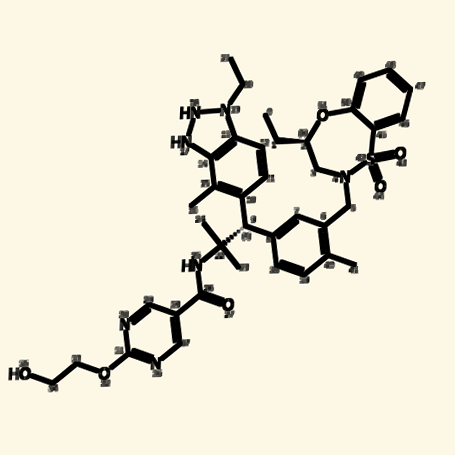 CC[C@@H]1CN(Cc2cc([C@@H](c3ccc4c(c3C)NNN4CC)C(C)(C)NC(=O)c3cnc(OCCO)nc3)ccc2C)S(=O)(=O)c2ccccc2O1